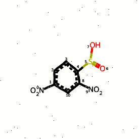 O=[N+]([O-])c1ccc(S(=O)O)c([N+](=O)[O-])c1